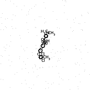 Cc1c(Cl)ccc(OC2CCN(C3CCN(S(=O)(=O)NC(=O)c4ccc(N(C)C)cc4)CC3)CC2)c1Cl